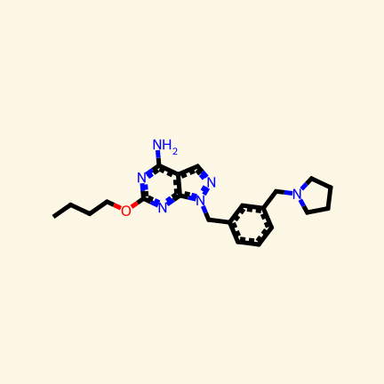 CCCCOc1nc(N)c2cnn(Cc3cccc(CN4CCCC4)c3)c2n1